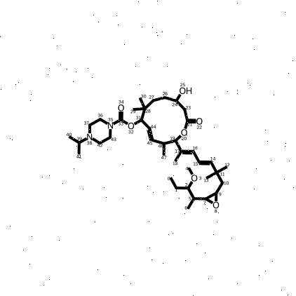 CCC(OC)C(C)C1OC1CC(C)(C)/C=C/C=C(\C)C1OC(=O)CC(O)CCC(C)(C)C(OC(=O)N2CCN(C(C)C)CC2)/C=C/C1C